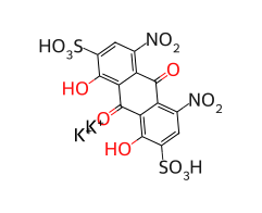 O=C1c2c([N+](=O)[O-])cc(S(=O)(=O)O)c(O)c2C(=O)c2c(O)c(S(=O)(=O)O)cc([N+](=O)[O-])c21.[K+].[K+]